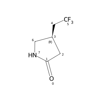 O=C1C[C@H](CC(F)(F)F)CN1